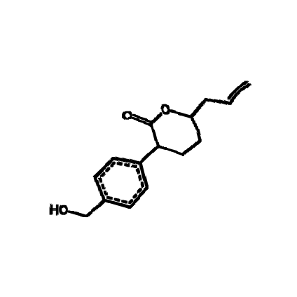 C=CCC1CCC(c2ccc(CO)cc2)C(=O)O1